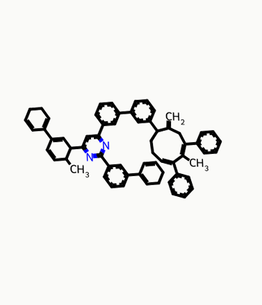 C=C1C/C(c2ccccc2)=C(C)\C(c2ccccc2)=C/CCC1c1cccc(-c2cccc(-c3cc(C4C=C(C5=CCCC=C5)C=CC4C)nc(-c4cccc(C5=CCCC=C5)c4)n3)c2)c1